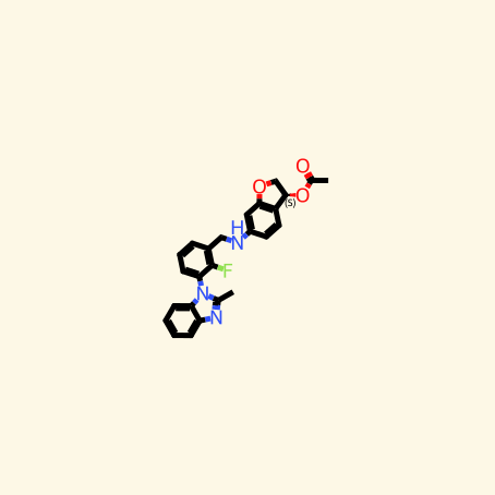 CC(=O)O[C@@H]1COc2cc(NCc3cccc(-n4c(C)nc5ccccc54)c3F)ccc21